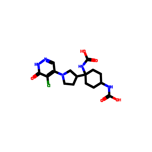 O=C(O)NC1CCC(NC(=O)O)(C2CCN(c3cn[nH]c(=O)c3Cl)C2)CC1